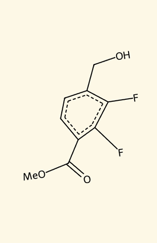 COC(=O)c1ccc(CO)c(F)c1F